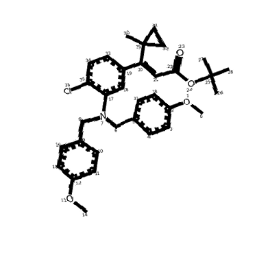 COc1ccc(CN(Cc2ccc(OC)cc2)c2cc(C(=CC(=O)OC(C)(C)C)C3(C)CC3)ccc2Cl)cc1